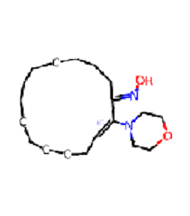 ON=C1CCCCCCCCCCCC/C=C/1N1CCOCC1